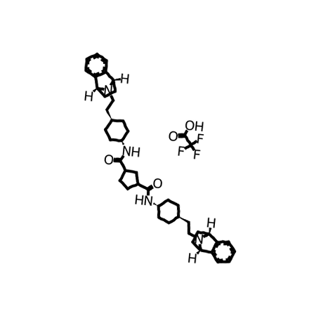 O=C(N[C@H]1CC[C@H](CCN2[C@@H]3CC[C@H]2c2ccccc23)CC1)C1CCC(C(=O)N[C@H]2CC[C@H](CCN3[C@@H]4CC[C@H]3c3ccccc34)CC2)C1.O=C(O)C(F)(F)F